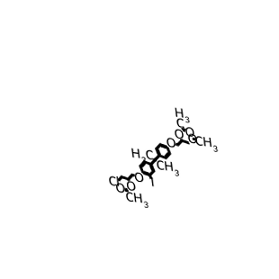 COCC(COc1ccc(C(C)(C)c2ccc(OCC(CCl)OC(C)=O)c(I)c2)cc1)OC(C)=O